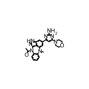 CC(=O)N1c2ccccc2N(C)c2cc(-c3cc(N4CCOCC4)nc(N)n3)cc3[nH]nc1c23